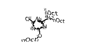 CCCCCCCCOc1nc(Cl)nc(N(CCCCCCCC)CCCCCCCC)n1